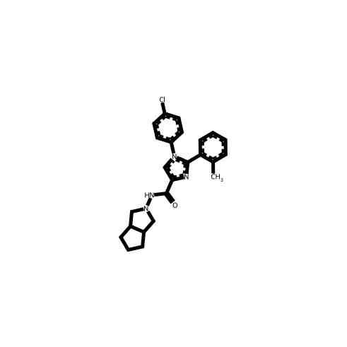 Cc1ccccc1-c1nc(C(=O)NN2CC3CCCC3C2)cn1-c1ccc(Cl)cc1